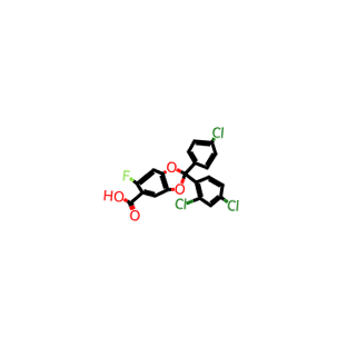 O=C(O)c1cc2c(cc1F)OC(c1ccc(Cl)cc1)(c1ccc(Cl)cc1Cl)O2